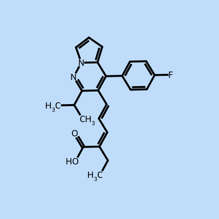 CCC(=CC=Cc1c(C(C)C)nn2cccc2c1-c1ccc(F)cc1)C(=O)O